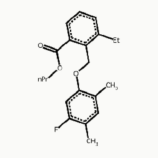 CCCOC(=O)c1cccc(CC)c1COc1cc(F)c(C)cc1C